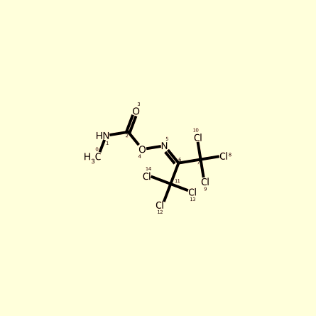 CNC(=O)ON=C(C(Cl)(Cl)Cl)C(Cl)(Cl)Cl